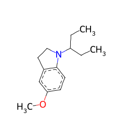 CCC(CC)N1CCc2cc(OC)ccc21